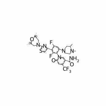 CC1CN(c2cc(F)c(-c3csc(N4C[C@@H](C)O[C@@H](C)C4)n3)c(F)c2-n2cc(C(N)=O)c(C(F)(F)F)cc2=O)CCN1C